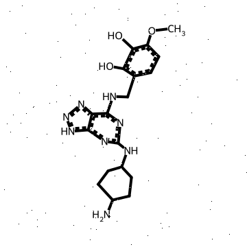 COc1ccc(CNc2nc(NC3CCC(N)CC3)nc3[nH]nnc23)c(O)c1O